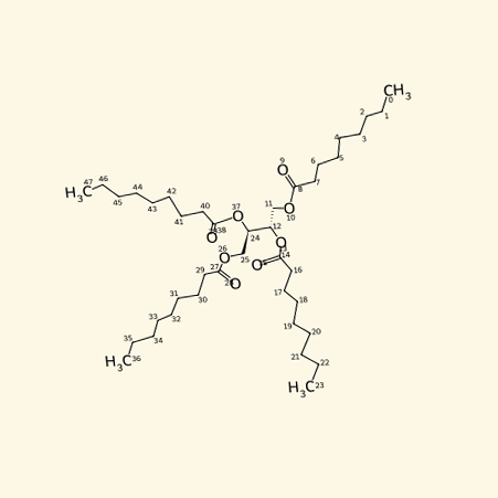 CCCCCCCCC(=O)OC[C@H](OC(=O)CCCCCCCC)[C@@H](COC(=O)CCCCCCCC)OC(=O)CCCCCCCC